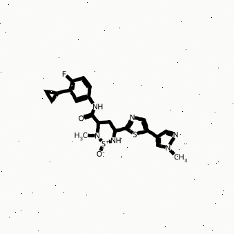 CN1C(C(=O)Nc2ccc(F)c(C3CC3)c2)CC(c2ncc(-c3cnn(C)c3)s2)N[S+]1[O-]